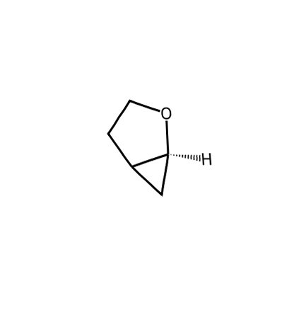 C1CC2C[C@@H]2O1